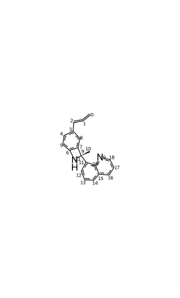 C=C=Cc1ccc2c(c1)[C@](C)(c1cccc3cccnc13)N2